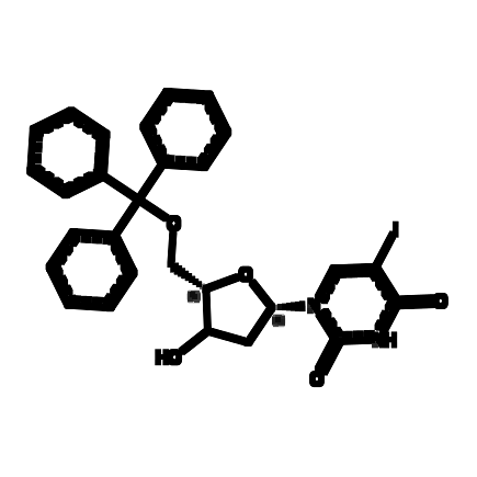 O=c1[nH]c(=O)n([C@@H]2CC(O)[C@H](COC(c3ccccc3)(c3ccccc3)c3ccccc3)O2)cc1I